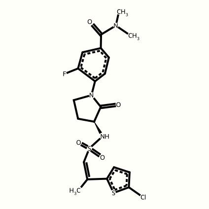 C/C(=C/S(=O)(=O)N[C@H]1CCN(c2ccc(C(=O)N(C)C)cc2F)C1=O)c1ccc(Cl)s1